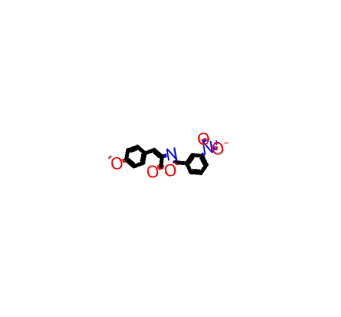 COc1ccc(C=C2N=C(c3cccc([N+](=O)[O-])c3)OC2=O)cc1